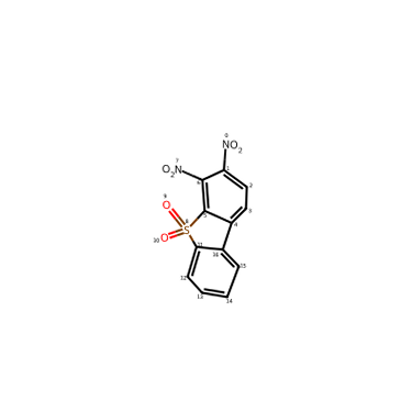 O=[N+]([O-])c1ccc2c(c1[N+](=O)[O-])S(=O)(=O)c1ccccc1-2